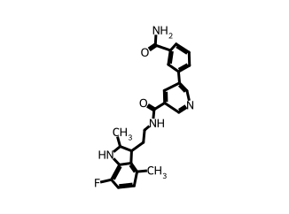 Cc1ccc(F)c2c1C(CCNC(=O)c1cncc(-c3cccc(C(N)=O)c3)c1)C(C)N2